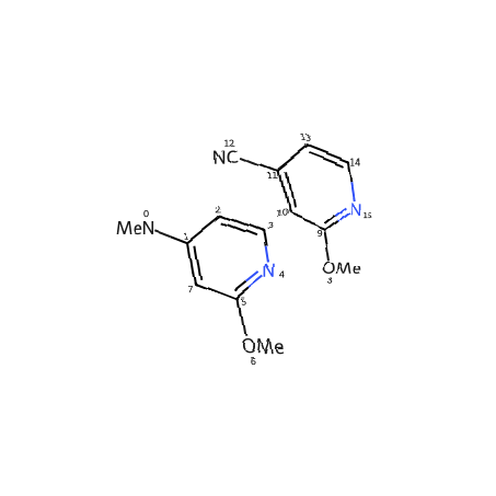 CNc1ccnc(OC)c1.COc1cc(C#N)ccn1